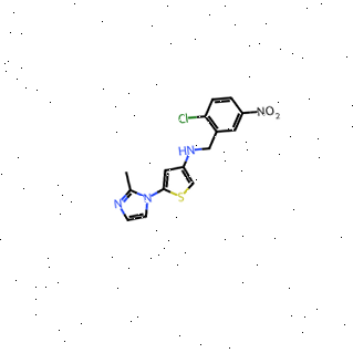 Cc1nccn1-c1cc(NCc2cc([N+](=O)[O-])ccc2Cl)cs1